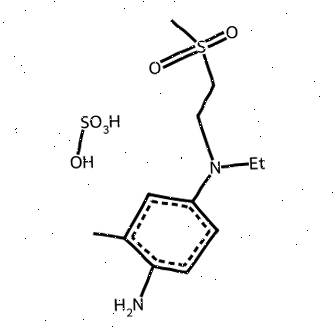 CCN(CCS(C)(=O)=O)c1ccc(N)c(C)c1.O=S(=O)(O)O